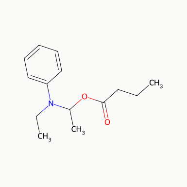 CCCC(=O)OC(C)N(CC)c1ccccc1